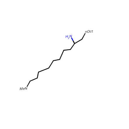 CCCCCCCCCC(N)CCCCCCCCNC